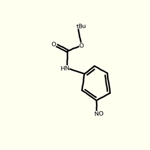 CC(C)(C)OC(=O)Nc1cccc(N=O)c1